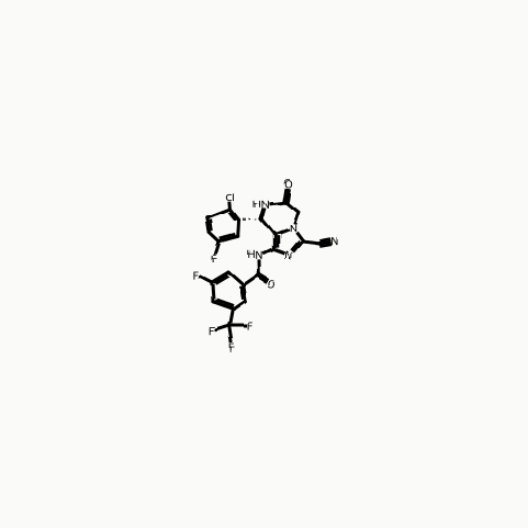 N#Cc1nc(NC(=O)c2cc(F)cc(C(F)(F)F)c2)c2n1CC(=O)N[C@H]2c1cc(F)ccc1Cl